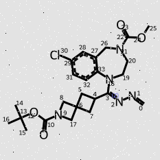 C=N/N=C(/C1CC2(C1)CN(C(=O)OC(C)(C)C)C2)N1CCN(C(=O)OC)Cc2cc(Cl)ccc21